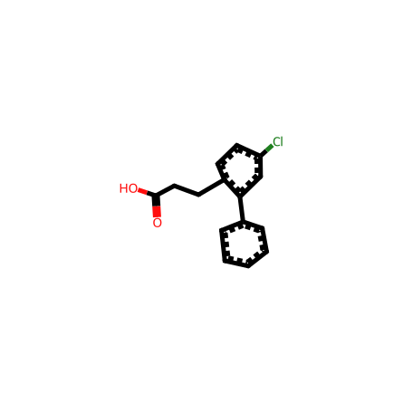 O=C(O)CCc1ccc(Cl)cc1-c1ccccc1